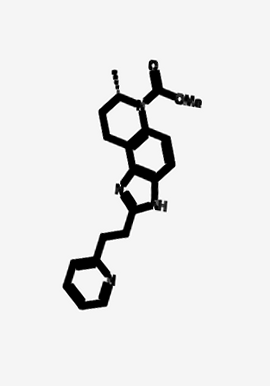 COC(=O)N1c2ccc3[nH]c(CCc4ccccn4)nc3c2CC[C@@H]1C